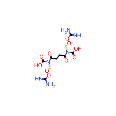 N=C(N)OOSN(C(=O)O)C(=O)CCC(=O)N(SOOC(=N)N)C(=O)O